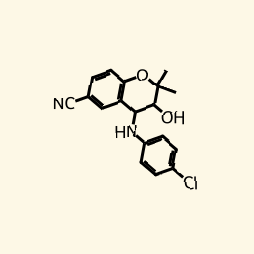 CC1(C)Oc2ccc(C#N)cc2C(Nc2ccc(Cl)cc2)C1O